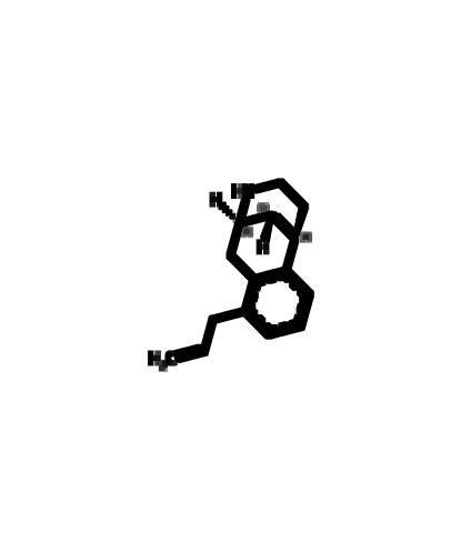 C=CCc1cccc2c1C[C@H]1NCC[C@@]23CCCC[C@@H]13